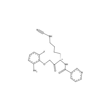 N#CBCCCC[C@H](NC(=O)c1cccnc1)C(=O)COc1c(F)cccc1P